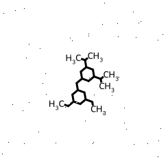 CCC1CC(CC)CC(CC2CC(C(C)C)CC(C(C)C)C2)C1